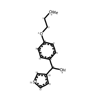 COCCOc1ccc(C(O)c2ccsc2)cc1